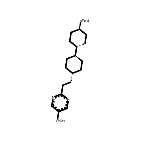 CCCCCCCCCc1cnc(CC[C@H]2CC[C@H]([C@H]3CC[C@H](CCCCC)CC3)CC2)nc1